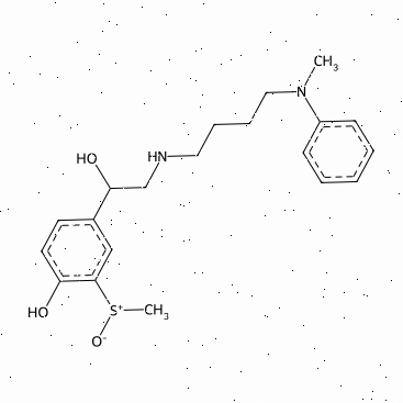 CN(CCCCNCC(O)c1ccc(O)c([S+](C)[O-])c1)c1ccccc1